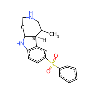 CC1CNCCC2Nc3ccc(S(=O)(=O)c4ccccc4)cc3[C@H]12